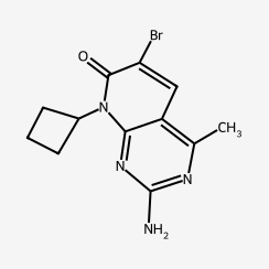 Cc1nc(N)nc2c1cc(Br)c(=O)n2C1CCC1